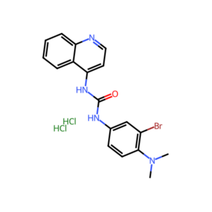 CN(C)c1ccc(NC(=O)Nc2ccnc3ccccc23)cc1Br.Cl.Cl